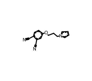 N#Cc1ccc(OCCCn2cccc2)cc1C#N